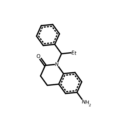 CCC(c1ccccc1)N1C(=O)CCc2cc(N)ccc21